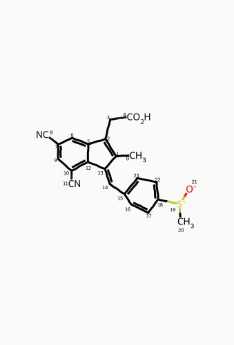 CC1=C(CC(=O)O)c2cc(C#N)cc(C#N)c2C1=Cc1ccc([S+](C)[O-])cc1